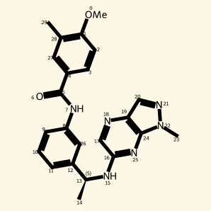 COc1ccc(C(=O)Nc2cccc([C@H](C)Nc3cnc4cnn(C)c4n3)c2)cc1C